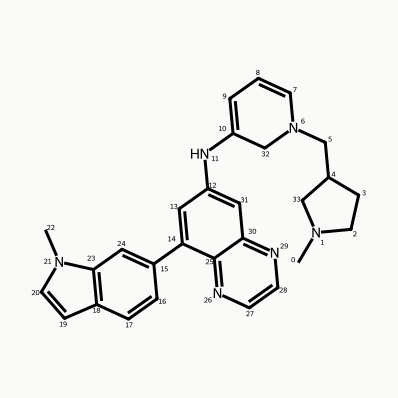 CN1CCC(CN2C=CC=C(Nc3cc(-c4ccc5ccn(C)c5c4)c4nccnc4c3)C2)C1